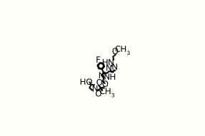 COCCCNc1nccc(-c2[nH]c(C3OCC(C)(C(=O)N4CCC(O)C4)CO3)nc2-c2ccc(F)cc2)n1